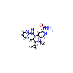 CC(=O)N1c2cnc(C(N)=O)cc2C(Nc2ncccn2)C(C)C1C1CC1